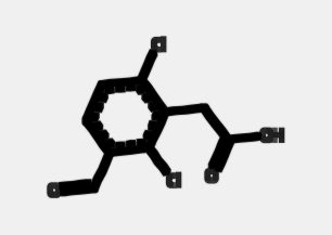 O=Cc1ccc(Cl)c(CC(=O)O)c1Cl